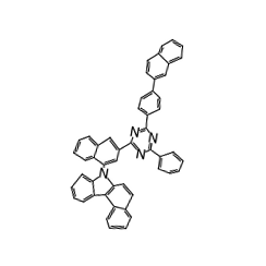 c1ccc(-c2nc(-c3ccc(-c4ccc5ccccc5c4)cc3)nc(-c3cc(-n4c5ccccc5c5c6ccccc6ccc54)c4ccccc4c3)n2)cc1